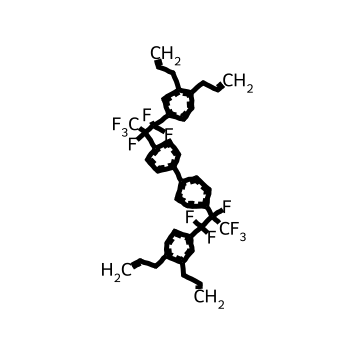 C=CCc1ccc(C(F)(F)C(F)(c2ccc(-c3ccc(C(F)(C(F)(F)F)C(F)(F)c4ccc(CC=C)c(CC=C)c4)cc3)cc2)C(F)(F)F)cc1CC=C